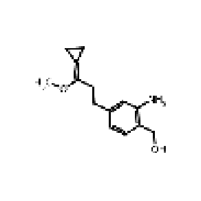 COC(CCc1ccc(CO)c(N)c1)=C1CC1